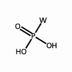 O=[P](O)(O)[W]